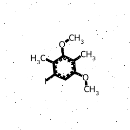 COc1cc(I)c(C)c(OC)c1C